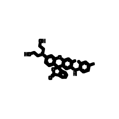 Cc1ccc(Nc2cc3c(cc2C)Oc2cc(N(CCO)CCO)ccc2C32OC(=O)c3ccccc32)c(C)c1